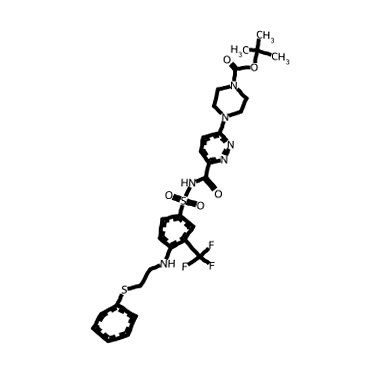 CC(C)(C)OC(=O)N1CCN(c2ccc(C(=O)NS(=O)(=O)c3ccc(NCCSc4ccccc4)c(C(F)(F)F)c3)nn2)CC1